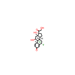 C[C@]12C=CC(=O)C=C1[C@@H](F)C[C@H]1[C@@H]3CC[C@](O)(C(=O)CO)[C@@]3(C)CC(O)[C@@]12Cl